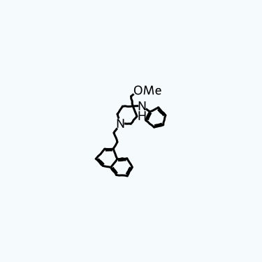 COCC1(Nc2ccccc2)CCN(CCc2cccc3ccccc23)CC1